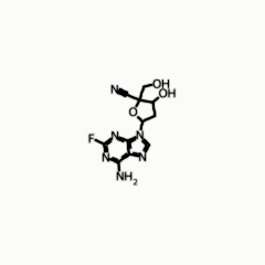 N#CC1(CO)OC(n2cnc3c(N)nc(F)nc32)CC1O